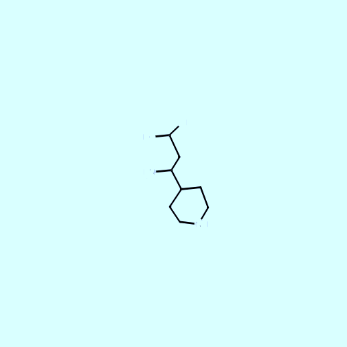 CC(C)CC(N)C1CCNCC1